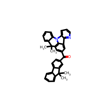 CC1(C)c2ccccc2-c2ccc(C(=O)c3cc4c5c(c3)c3ncccc3n5-c3ccccc3C4(C)C)cc21